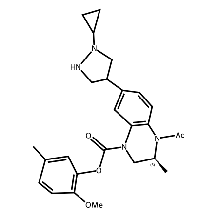 COc1ccc(C)cc1OC(=O)N1C[C@H](C)N(C(C)=O)c2ccc(C3CNN(C4CC4)C3)cc21